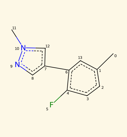 Cc1ccc(F)c(-c2cnn(C)c2)c1